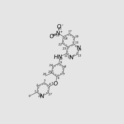 Cc1ccc(Oc2ccc(Nc3ncnc4ccc([N+](=O)[O-])cc34)cc2C)cn1